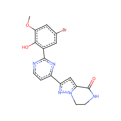 COc1cc(Br)cc(-c2nccc(-c3cc4n(n3)CCNC4=O)n2)c1O